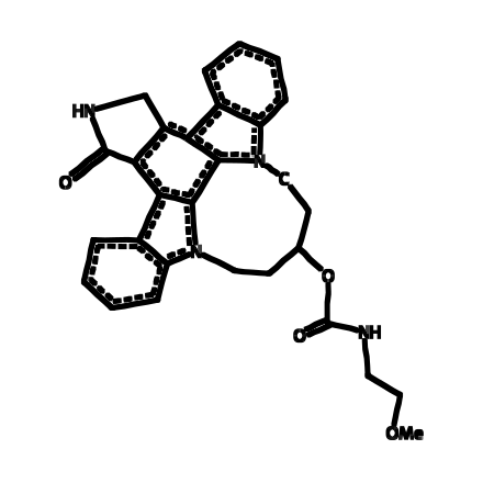 COCCNC(=O)OC1CCn2c3ccccc3c3c4c(c5c6ccccc6n(c5c32)CC1)C(=O)NC4